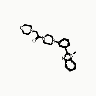 Cn1c(-c2cccc(N3CCN(C(=O)CN4CCOCC4)CC3)c2)nc2ccccc21